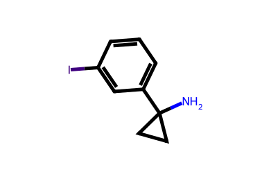 NC1(c2cccc(I)c2)CC1